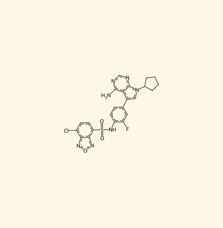 Nc1ncnc2c1c(-c1ccc(NS(=O)(=O)c3ccc(Cl)c4nonc34)c(F)c1)cn2C1CCCC1